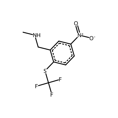 CNCc1cc([N+](=O)[O-])ccc1SC(F)(F)F